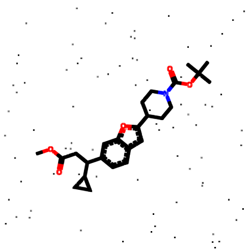 COC(=O)CC(c1ccc2cc(C3CCN(C(=O)OC(C)(C)C)CC3)oc2c1)C1CC1